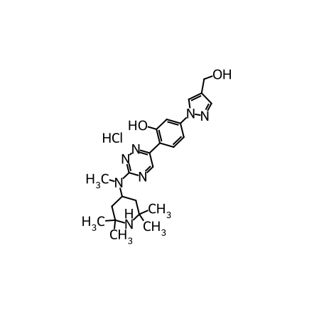 CN(c1ncc(-c2ccc(-n3cc(CO)cn3)cc2O)nn1)C1CC(C)(C)NC(C)(C)C1.Cl